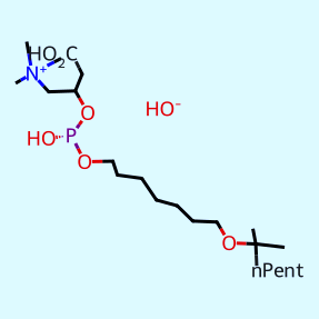 CCCCCC(C)(C)OCCCCCCCO[P@](O)OC(CC(=O)O)C[N+](C)(C)C.[OH-]